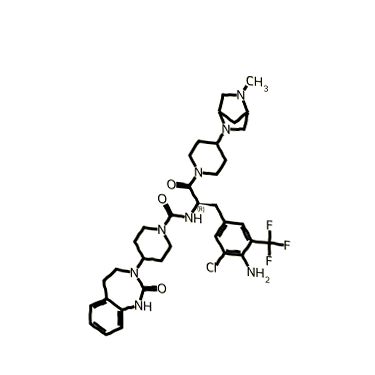 CN1CC2CC1CN2C1CCN(C(=O)[C@@H](Cc2cc(Cl)c(N)c(C(F)(F)F)c2)NC(=O)N2CCC(N3CCc4ccccc4NC3=O)CC2)CC1